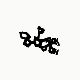 COc1cc(C2C=CC23CCCC3)cc2c1OC(O)(O)O2